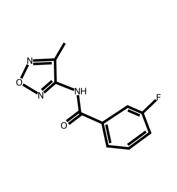 Cc1nonc1NC(=O)c1cccc(F)c1